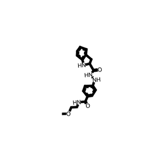 COCCNC(=O)c1ccc(NNC(=O)C2Cc3ccccc3N2)cc1